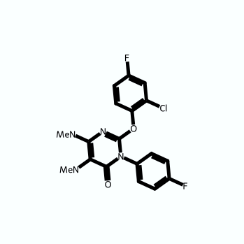 CNc1nc(Oc2ccc(F)cc2Cl)n(-c2ccc(F)cc2)c(=O)c1NC